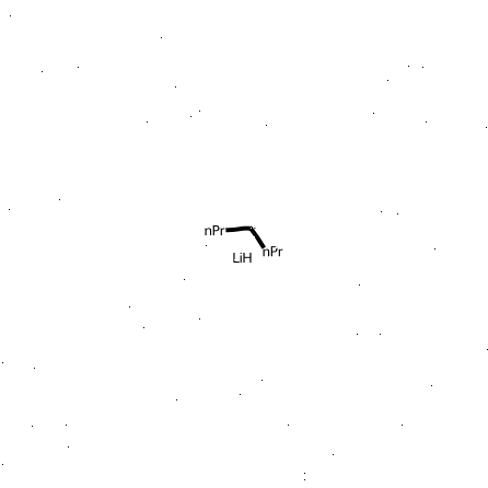 CCC[CH]CCC.[LiH]